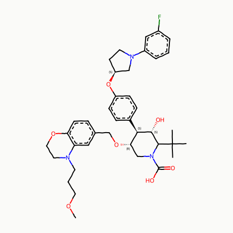 COCCCN1CCOc2ccc(CO[C@H]3CN(C(=O)O)C(C(C)(C)C)[C@@H](O)[C@@H]3c3ccc(O[C@H]4CCN(c5cccc(F)c5)C4)cc3)cc21